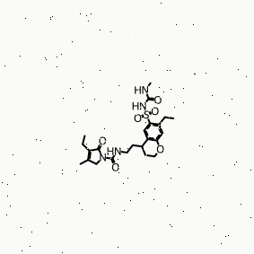 CCC1=C(C)CN(C(=O)NCCC2CCOc3cc(CC)c(S(=O)(=O)NC(=O)NC)cc32)C1=O